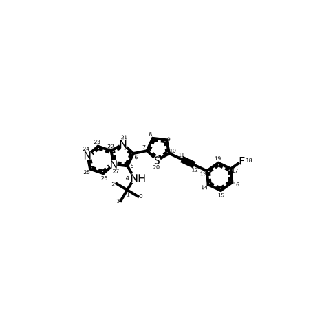 CC(C)(C)Nc1c(-c2ccc(C#Cc3cccc(F)c3)s2)nc2cnccn12